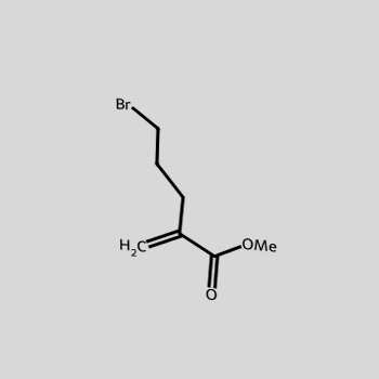 C=C(CCCBr)C(=O)OC